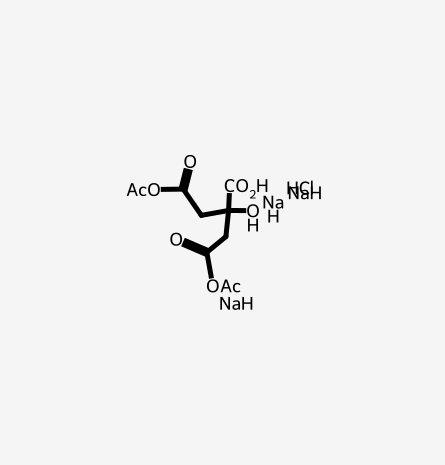 CC(=O)OC(=O)CC(O)(CC(=O)OC(C)=O)C(=O)O.Cl.[NaH].[NaH].[NaH]